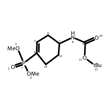 COP(=O)(OC)C1=CCC(NC(=O)OC(C)(C)C)CC1